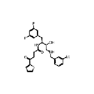 CCc1cccc(CNC[C@H](O)[C@H](Cc2cc(F)cc(F)c2)NC(=O)CCC(=O)c2cccs2)c1